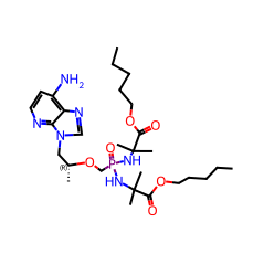 CCCCCOC(=O)C(C)(C)NP(=O)(CO[C@H](C)Cn1cnc2c(N)ccnc21)NC(C)(C)C(=O)OCCCCC